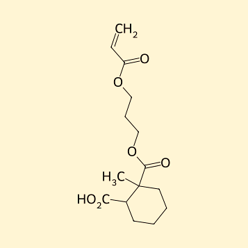 C=CC(=O)OCCCOC(=O)C1(C)CCCCC1C(=O)O